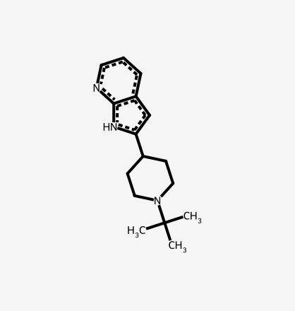 CC(C)(C)N1CCC(c2cc3cccnc3[nH]2)CC1